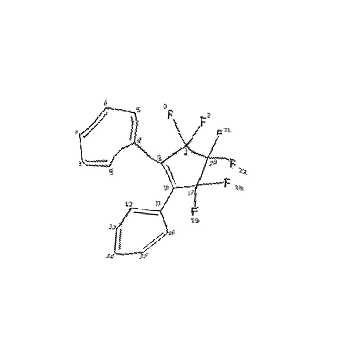 FC1(F)C(c2ccccc2)=C(c2ccccc2)C(F)(F)C1(F)F